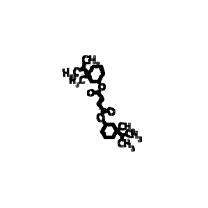 CC(C)C1(C)CCCC(OC(=O)/C=C/C(=O)OC2CCCC(C)(C(C)C)C2)C1